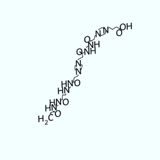 C=CC(=O)NCNC(=O)CCNCNC(=O)CCN1CCN(CCC(=O)NCNC(=O)CCN2CCN(CCCC(=O)O)CC2)CC1